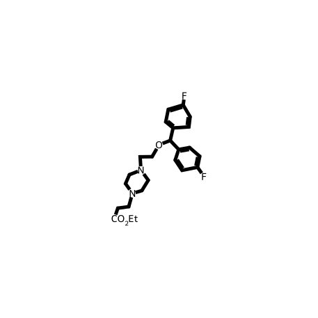 CCOC(=O)CCN1CCN(CCOC(c2ccc(F)cc2)c2ccc(F)cc2)CC1